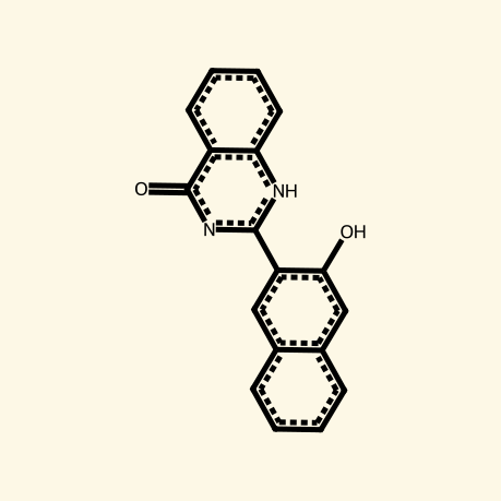 O=c1nc(-c2cc3ccccc3cc2O)[nH]c2ccccc12